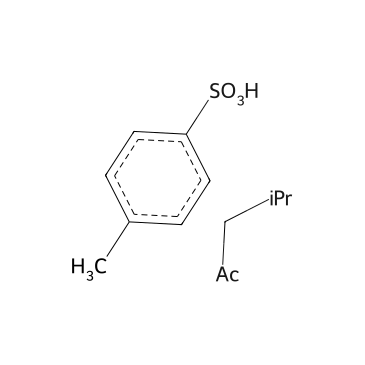 CC(=O)CC(C)C.Cc1ccc(S(=O)(=O)O)cc1